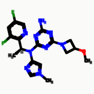 COC1CN(c2nc(N)nc(N(c3cn(C)cn3)[C@@H](C)c3ncc(F)cc3F)n2)C1